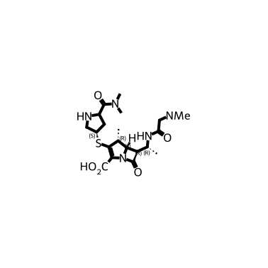 CNCC(=O)N[C@H](C)[C@H]1C(=O)N2C(C(=O)O)=C(S[C@@H]3CNC(C(=O)N(C)C)C3)[C@H](C)[C@H]12